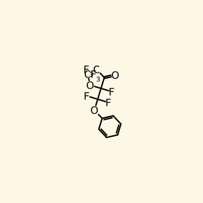 O=C(C(F)(F)F)C(F)(OC(F)(F)F)C(F)(F)Oc1ccccc1